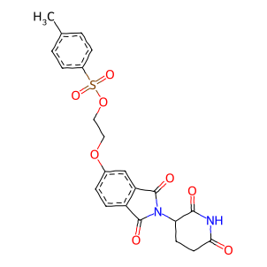 Cc1ccc(S(=O)(=O)OCCOc2ccc3c(c2)C(=O)N(C2CCC(=O)NC2=O)C3=O)cc1